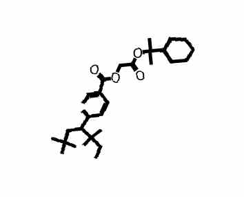 C/C=C(\C=C/C(C)C(CC(C)(C)C)C(C)(C)CC)C(=O)OCC(=O)OC(C)(C)C1CCCCC1